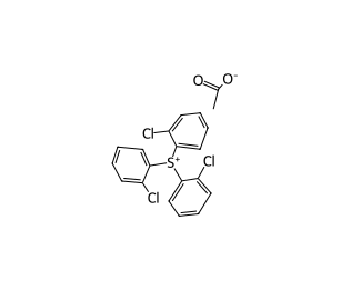 CC(=O)[O-].Clc1ccccc1[S+](c1ccccc1Cl)c1ccccc1Cl